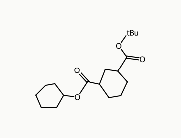 CC(C)(C)OC(=O)C1CCCC(C(=O)OC2CCCCC2)C1